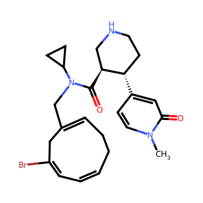 Cn1ccc([C@H]2CCNC[C@@H]2C(=O)N(CC2=CCC/C=C\C=C(\Br)C2)C2CC2)cc1=O